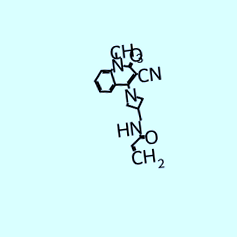 C=CC(=O)NCC1CN(c2c(C#N)c(=O)n(C)c3ccccc23)C1